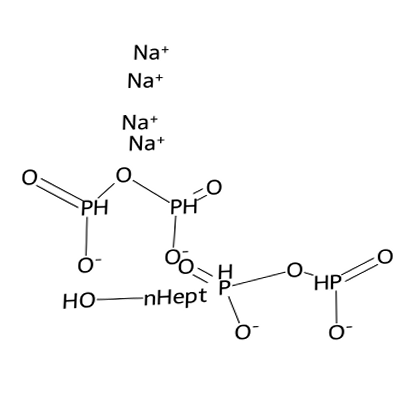 CCCCCCCO.O=[PH]([O-])O[PH](=O)[O-].O=[PH]([O-])O[PH](=O)[O-].[Na+].[Na+].[Na+].[Na+]